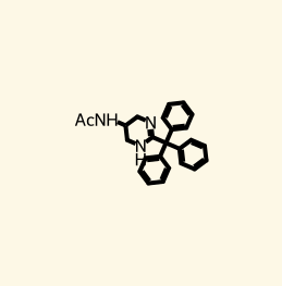 CC(=O)NC1CN=C(C(c2ccccc2)(c2ccccc2)c2ccccc2)NC1